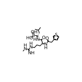 CNC(=N)NCCC[C@H](NC(=O)Cc1ccsc1)C(=O)N[C@@H](CC(C)C)B(O)O